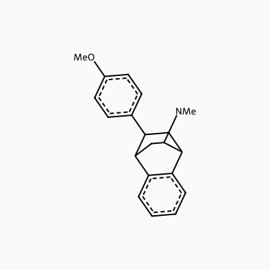 CNC1CC2c3ccccc3C1CC2c1ccc(OC)cc1